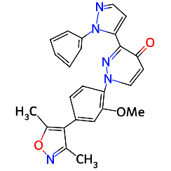 COc1cc(-c2c(C)noc2C)ccc1-n1ccc(=O)c(-c2ccnn2-c2ccccc2)n1